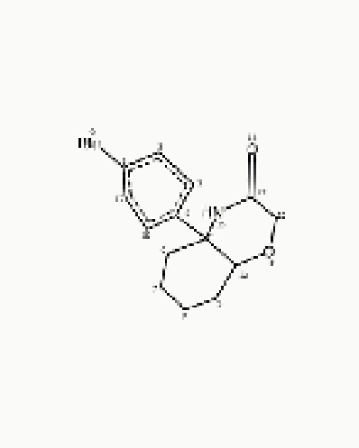 CC(C)(C)c1ccc(C23CCCCC2OCC(=O)N3)cc1